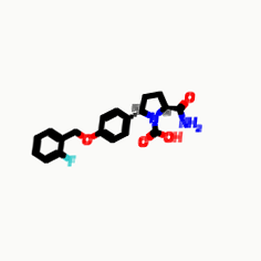 NC(=O)[C@@H]1CC[C@@H](c2ccc(OCc3ccccc3F)cc2)N1C(=O)O